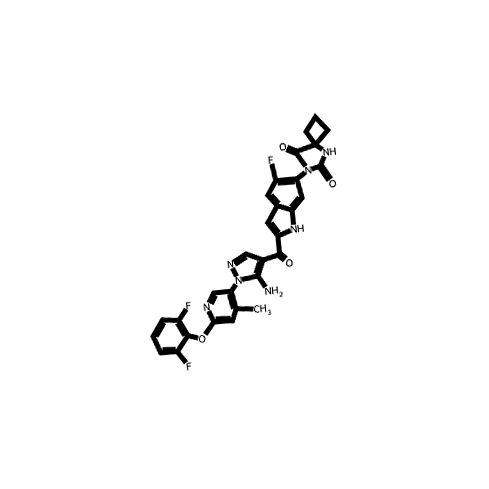 Cc1cc(Oc2c(F)cccc2F)ncc1-n1ncc(C(=O)c2cc3cc(F)c(N4C(=O)NC5(CCC5)C4=O)cc3[nH]2)c1N